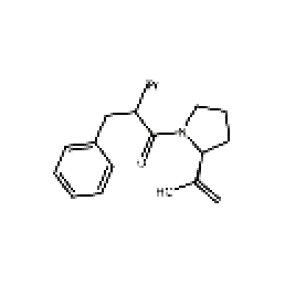 C=C(O)[C@@H]1CCCN1C(=O)C(Cc1ccccc1)C(C)C